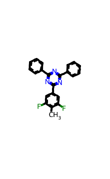 Cc1c(F)cc(-c2nc(-c3ccccc3)nc(-c3ccccc3)n2)cc1F